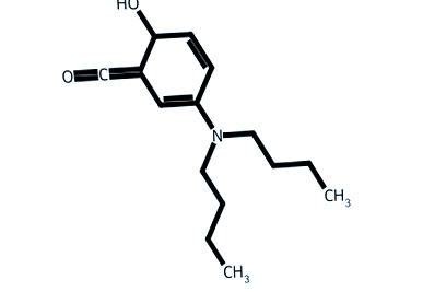 CCCCN(CCCC)C1=CC(=C=O)C(O)C=C1